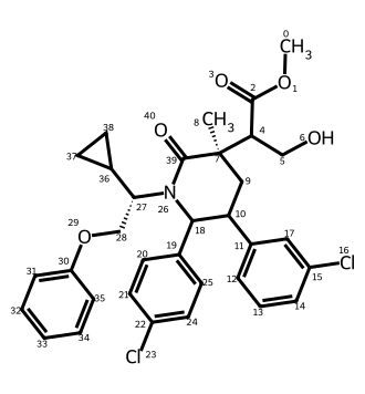 COC(=O)C(CO)[C@@]1(C)CC(c2cccc(Cl)c2)C(c2ccc(Cl)cc2)N([C@H](COc2ccccc2)C2CC2)C1=O